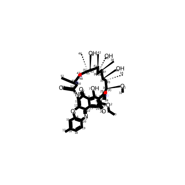 CCOc1c(C)c(O)c2c(=O)c3c4oc5cc(C)ccc5nc-4c2c1C(=O)O/C=C/[C@H](OC)[C@@H](C)[C@@H](O)[C@H](C)[C@H](O)[C@H](C)[C@@H](O)[C@@H](C)/C=C/C=C(/C)C(=O)N3